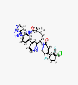 CC1CCC[C@H](N2CCC(c3c(F)ccc(Cl)c3F)=CC2=O)c2cc(ccn2)-c2ccc(Nc3cccnn3)cc2NC1=O